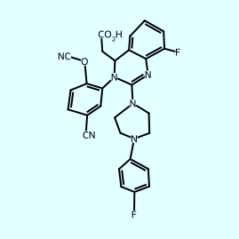 N#COc1ccc(C#N)cc1N1C(N2CCN(c3ccc(F)cc3)CC2)=Nc2c(F)cccc2C1CC(=O)O